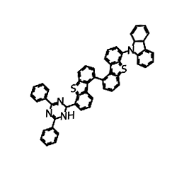 C1=CC2c3ccccc3N(c3cccc4c3sc3cccc(-c5cccc6sc7c(C8N=C(c9ccccc9)N=C(c9ccccc9)N8)cccc7c56)c34)C2C=C1